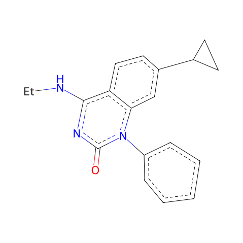 CCNc1nc(=O)n(-c2ccccc2)c2cc(C3CC3)ccc12